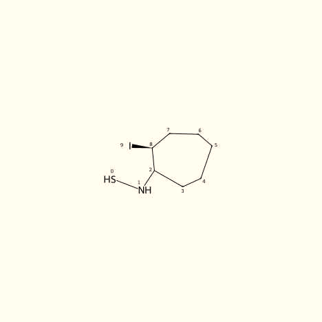 SNC1CCCCC[C@@H]1I